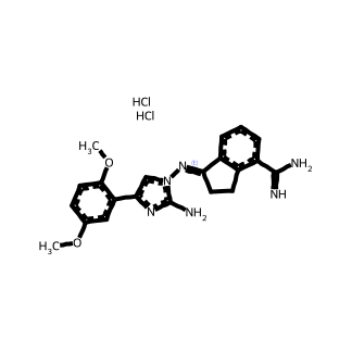 COc1ccc(OC)c(-c2cn(/N=C3\CCc4c(C(=N)N)cccc43)c(N)n2)c1.Cl.Cl